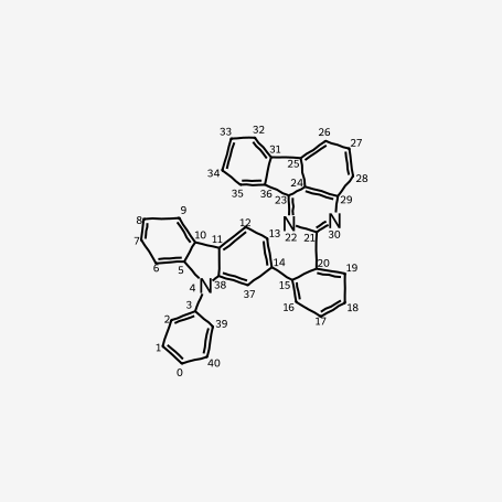 c1ccc(-n2c3ccccc3c3ccc(-c4ccccc4-c4nc5c6c(cccc6n4)-c4ccccc4-5)cc32)cc1